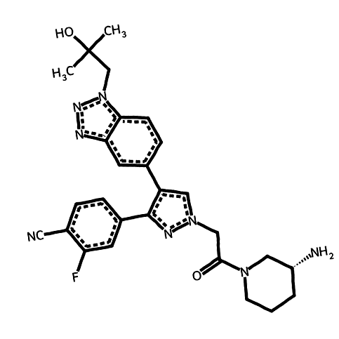 CC(C)(O)Cn1nnc2cc(-c3cn(CC(=O)N4CCC[C@@H](N)C4)nc3-c3ccc(C#N)c(F)c3)ccc21